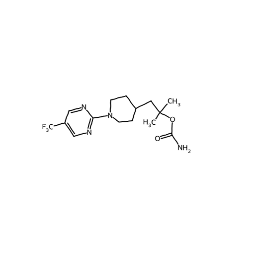 CC(C)(CC1CCN(c2ncc(C(F)(F)F)cn2)CC1)OC(N)=O